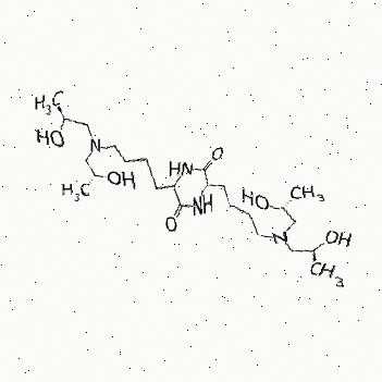 C[C@H](O)CN(CCCCC1NC(=O)C(CCCCN(C[C@H](C)O)C[C@@H](C)O)NC1=O)C[C@@H](C)O